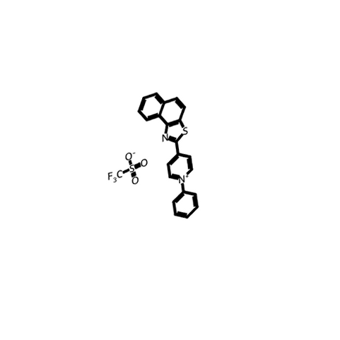 O=S(=O)([O-])C(F)(F)F.c1ccc(-[n+]2ccc(-c3nc4c(ccc5ccccc54)s3)cc2)cc1